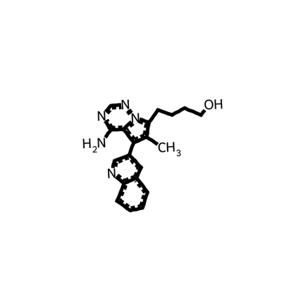 Cc1c(-c2cnc3ccccc3c2)c2c(N)ncnn2c1CCCCO